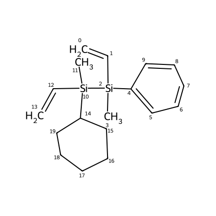 C=C[Si](C)(c1ccccc1)[Si](C)(C=C)C1CCCCC1